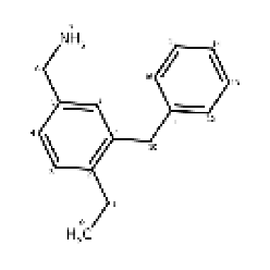 CCc1ccc(CN)cc1Cc1ccccc1